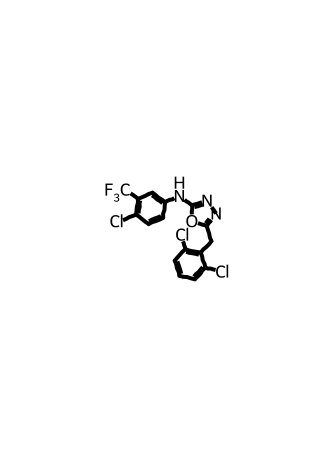 FC(F)(F)c1cc(Nc2nnc(Cc3c(Cl)cccc3Cl)o2)ccc1Cl